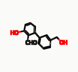 O=Cc1c(O)cccc1-c1cccc(CO)c1